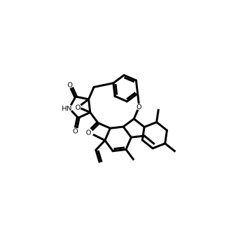 C=CC1(C)C=C(C)C(CC)C2C(C3CCC(C)CC3C)Oc3ccc(cc3)CC34OC3(C(=O)NC4=O)C(=O)C21